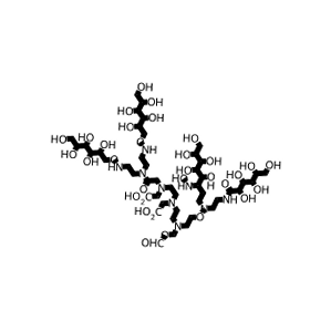 O=COCN(CCON(CCNC(=O)C(O)C(O)C(O)C(O)CO)CCC(NO)C(O)C(O)C(O)C(O)CO)CCN(CCN(CC(=O)O)CC(=O)N(CCNOCC(O)C(O)C(O)C(O)CO)CCNOCC(O)C(O)C(O)C(O)CO)CC(=O)O